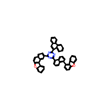 c1ccc2c(c1)cc(-c1nc(-c3ccc4ccc5oc6ccccc6c5c4c3)nc(-c3cccc4c(-c5cccc6oc7ccccc7c56)cccc34)n1)c1ccccc12